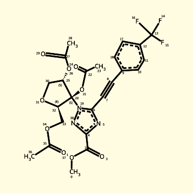 COC(=O)c1nc(C#Cc2ccc(C(F)(F)F)cc2)n([C@@]2(OC(C)=O)[C@@H](OC(C)=O)CO[C@@H]2COC(C)=O)n1